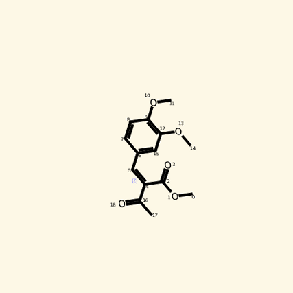 COC(=O)/C(=C\c1ccc(OC)c(OC)c1)C(C)=O